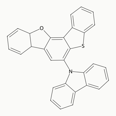 C1=CC2Oc3c(cc(-n4c5ccccc5c5ccccc54)c4sc5ccccc5c34)C2C=C1